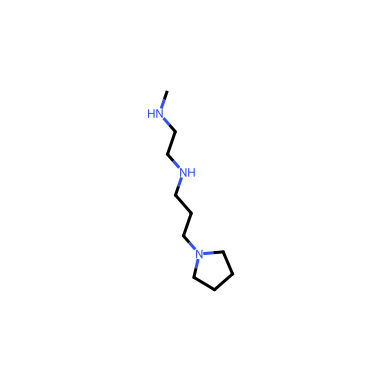 CNCCNCCCN1CCCC1